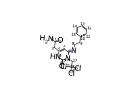 NC(=O)Cc1c/c(=N\CCc2ccccc2)n(CC(Cl)(Cl)Cl)c(=O)[nH]1